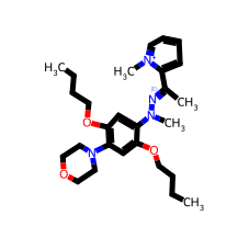 CCCCOc1cc(N(C)/N=C(\C)c2cccc[n+]2C)c(OCCCC)cc1N1CCOCC1